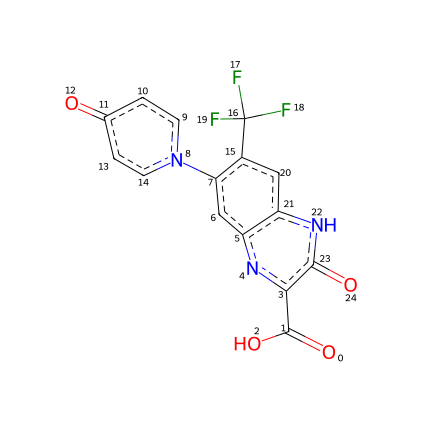 O=C(O)c1nc2cc(-n3ccc(=O)cc3)c(C(F)(F)F)cc2[nH]c1=O